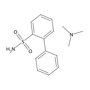 CN(C)C.NS(=O)(=O)c1ccccc1-c1ccccc1